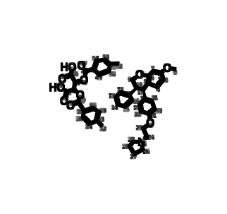 COc1ccc2c(c1)OC[C@H](c1ccccc1)[C@@H]2c1ccc(OCCN2CCCC2)cc1.Cc1ccc(C(=O)OC(C(=O)O)C(OC(=O)c2ccc(C)cc2)C(=O)O)cc1